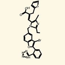 CCc1nc(C)c(/C=C(\Cc2cccs2)C(=O)O)n1Cc1ccc2oc(-c3ccccc3-c3nnn[nH]3)c(Br)c2c1